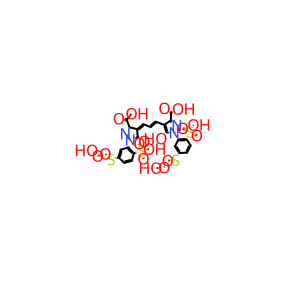 O=C(O)C1=NN(c2cc(SOOO)ccc2S(=O)(=O)O)C(=O)C1=CC=Cc1c(C(=O)O)nn(-c2cc(SOOO)ccc2S(=O)(=O)O)c1O